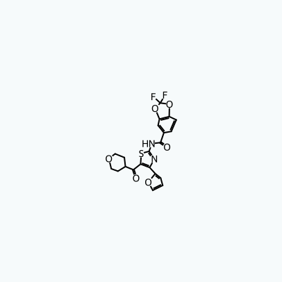 O=C(Nc1nc(-c2ccco2)c(C(=O)C2CCOCC2)s1)c1ccc2c(c1)OC(F)(F)O2